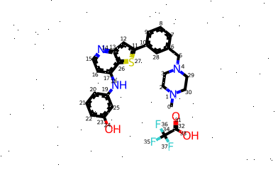 CN1CCN(Cc2cccc(-c3cc4nccc(Nc5cccc(O)c5)c4s3)c2)CC1.O=C(O)C(F)(F)F